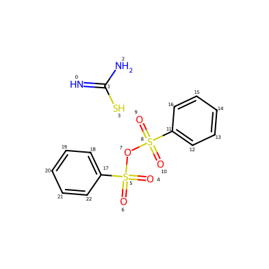 N=C(N)S.O=S(=O)(OS(=O)(=O)c1ccccc1)c1ccccc1